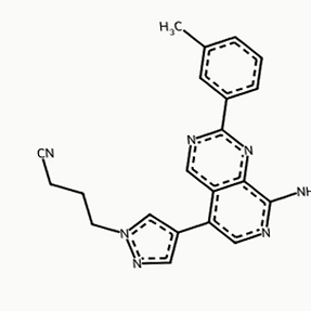 Cc1cccc(-c2ncc3c(-c4cnn(CCCC#N)c4)cnc(N)c3n2)c1